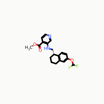 COC(=O)c1ccncc1NC[C@H]1CCCc2cc(OC(F)F)ccc21